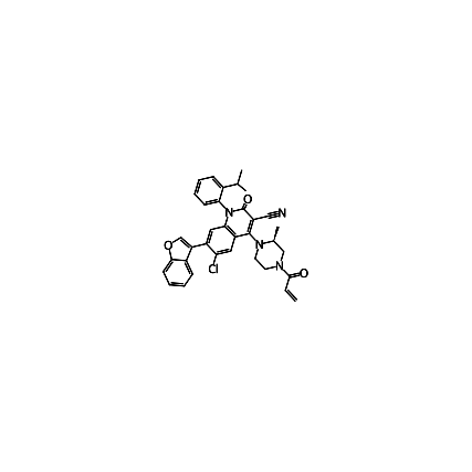 C=CC(=O)N1CCN(c2c(C#N)c(=O)n(-c3ccccc3C(C)C)c3cc(-c4coc5ccccc45)c(Cl)cc23)[C@@H](C)C1